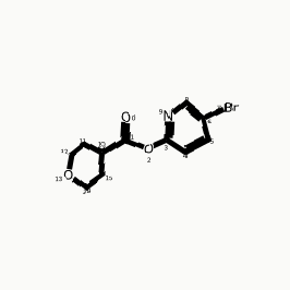 O=C(Oc1ccc(Br)cn1)C1CCOCC1